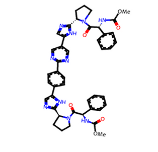 COC(=O)N[C@@H](C(=O)N1CCC[C@H]1c1ncc(-c2ccc(-c3ncc(-c4cnc([C@@H]5CCCN5C(=O)[C@H](NC(=O)OC)c5ccccc5)[nH]4)cn3)cc2)[nH]1)c1ccccc1